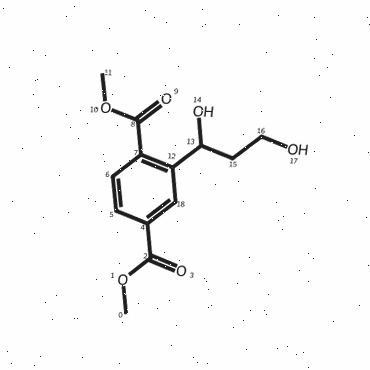 COC(=O)c1ccc(C(=O)OC)c(C(O)CCO)c1